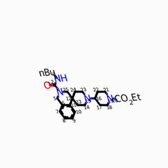 CCCCNC(=O)N1Cc2ccccc2C2(CCN(C3CCN(C(=O)OCC)CC3)CC2)C1